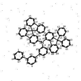 c1ccc(-c2cccc(-c3cccc(N(c4ccc5c(c4)C4(c6ccccc6-c6ccccc64)c4ccccc4-5)c4cccc5c4-c4ccccc4C5(c4ccccc4)c4ccccc4)c3)c2)cc1